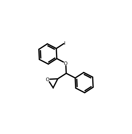 Ic1ccccc1OC(c1ccccc1)C1CO1